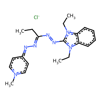 CCC(N=Nc1n(CC)c2ccccc2[n+]1CC)=NN=c1ccn(C)cc1.[Cl-]